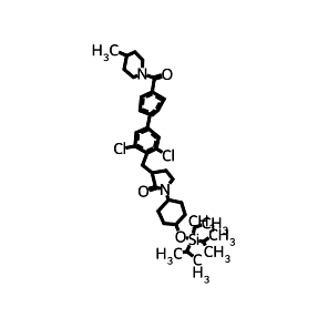 CC1CCN(C(=O)c2ccc(-c3cc(Cl)c(CC4CCN(C5CCC(O[Si](C(C)C)(C(C)C)C(C)C)CC5)C4=O)c(Cl)c3)cc2)CC1